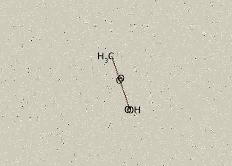 CCCCCCC=CCCCCCCCCCCCC(=O)OCCCCCCCCCCCCCCCCCCCCCCCC(=O)O